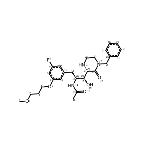 COCCCOc1cc(F)cc(C[C@H](NC(C)=O)[C@H](O)[C@@H]2NCCN(Cc3ccccc3)C2=O)c1